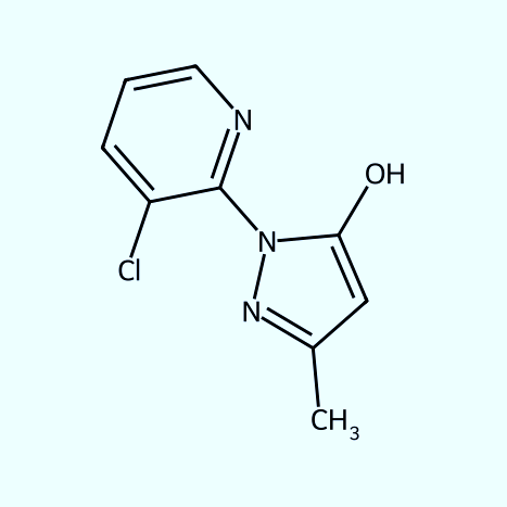 Cc1cc(O)n(-c2ncccc2Cl)n1